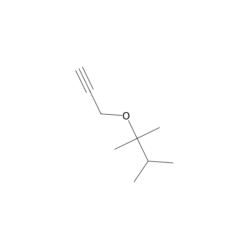 C#CCOC(C)(C)C(C)C